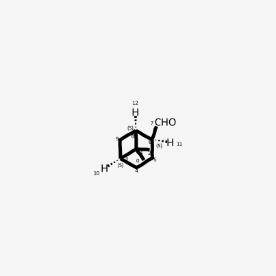 CC1(C)[C@H]2CC[C@H](C=O)[C@@H]1C2